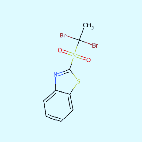 CC(Br)(Br)S(=O)(=O)c1nc2ccccc2s1